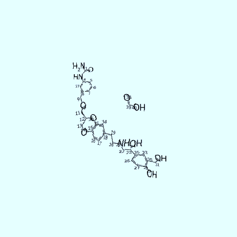 NC(=O)Nc1cccc(COC[C@@H]2COc3ccc(CCNC[C@H](O)c4ccc(O)c(CO)c4)cc3O2)c1.O=CO